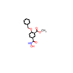 COC(=O)c1cc(C(=O)NO)ccc1OCc1ccccc1